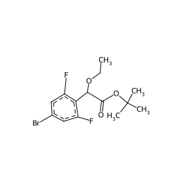 CCOC(C(=O)OC(C)(C)C)c1c(F)cc(Br)cc1F